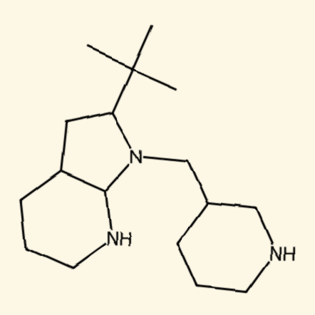 CC(C)(C)C1CC2CCCNC2N1CC1CCCNC1